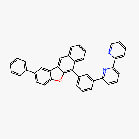 c1ccc(-c2ccc3oc4c(-c5cccc(-c6cccc(-c7ccccn7)n6)c5)c5ccccc5cc4c3c2)cc1